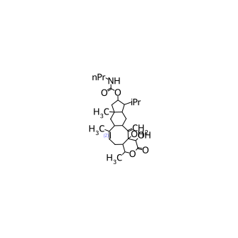 C=C1C2CC3C(C(C)C)C(OC(=O)NCCC)CC3(C)CC2/C(C)=C\CC2C(C)OC(=O)C(O)C12O